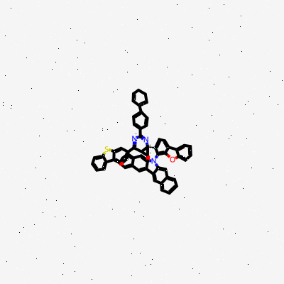 CC1C2C(c3ccc4c(c3)sc3ccccc34)=NC(c3ccc(C4=CCCC=C4)cc3)=N[C@]12c1ccc2c(oc3ccccc32)c1-n1c2cc3ccccc3cc2c2cc3ccccc3cc21